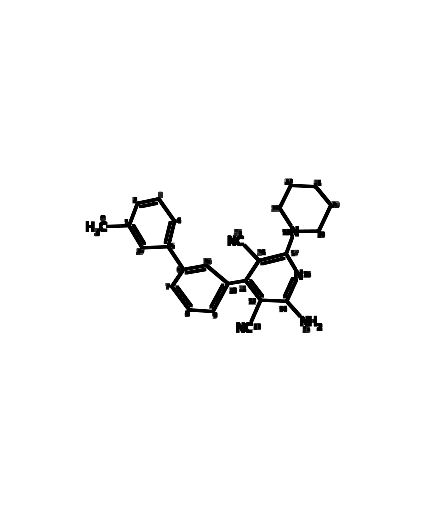 Cc1cccc(-c2cccc(-c3c(C#N)c(N)nc(N4CCCCC4)c3C#N)c2)c1